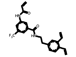 C=CC(=O)Nc1cc(C(=O)NCCc2ccc(C=C)c(C=C)c2)cc(C(F)(F)F)c1